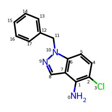 Nc1c(Cl)ccc2c1cnn2Cc1ccccc1